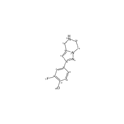 Fc1cc(-c2cc3n(n2)CCNC3)ccc1Cl